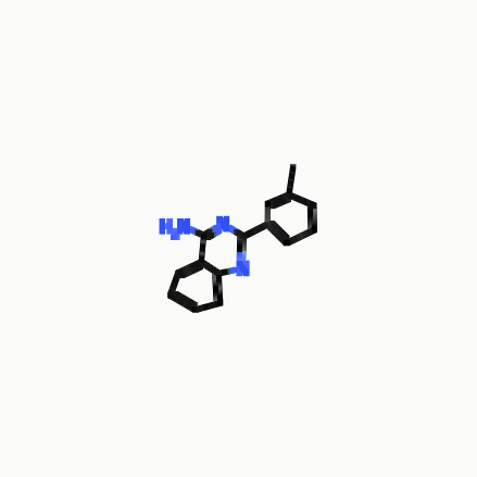 Cc1cccc(-c2nc(N)c3ccccc3n2)c1